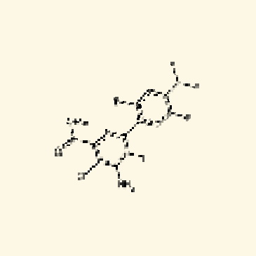 COC(=O)c1nc(-c2cc(F)c(C(F)F)cc2F)c(F)c(N)c1Cl